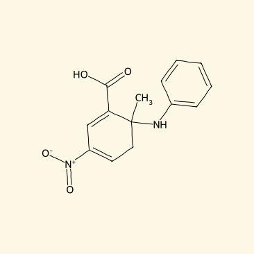 CC1(Nc2ccccc2)CC=C([N+](=O)[O-])C=C1C(=O)O